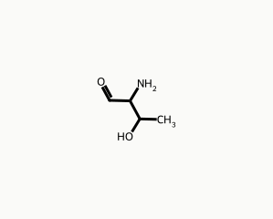 CC(O)C(N)C=O